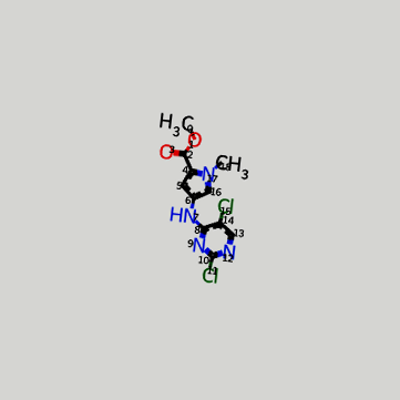 COC(=O)c1cc(Nc2nc(Cl)ncc2Cl)cn1C